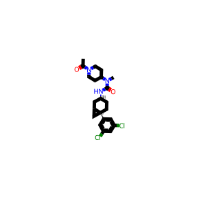 CC(=O)N1CCC(N(C)C(=O)N[C@@H]2CC[C@@]3(c4cc(Cl)cc(Cl)c4)CC3C2)CC1